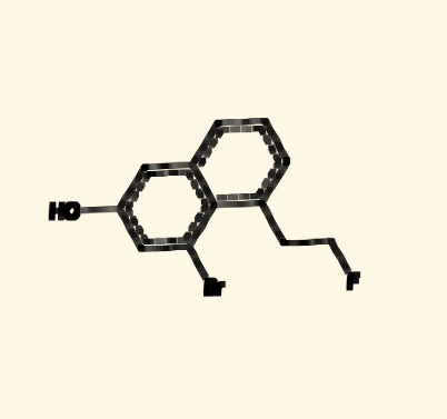 Oc1cc(Br)c2c(CCF)cccc2c1